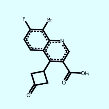 O=C1CC(c2c(C(=O)O)cnc3c(Br)c(F)ccc23)C1